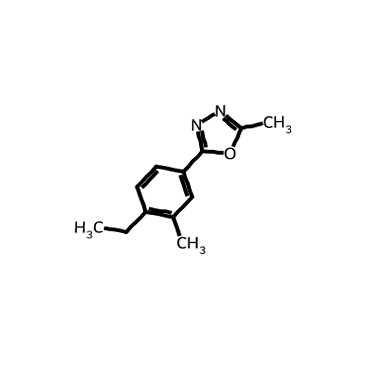 CCc1ccc(-c2nnc(C)o2)cc1C